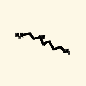 NCCC[N]NCCN